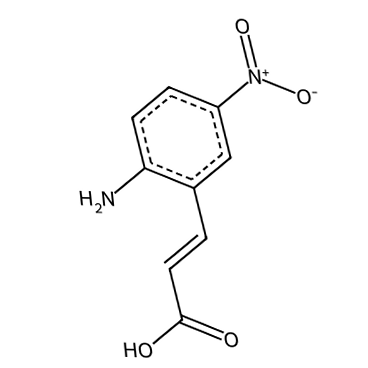 Nc1ccc([N+](=O)[O-])cc1/C=C/C(=O)O